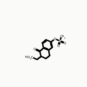 O=C(O)CC1CCc2cc(OS(=O)(=O)C(F)(F)F)ccc2C1=O